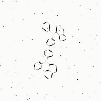 C1=C(N(c2ccccc2)c2ccc(-c3ccc(N(c4ccccc4)c4cccc5ccccc45)cc3)cc2)c2ccccc2CC1